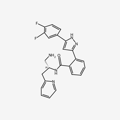 NC[C@@H](Cc1ccccn1)NC(=O)c1ccccc1-c1cc(-c2ccc(F)c(F)c2)[nH]n1